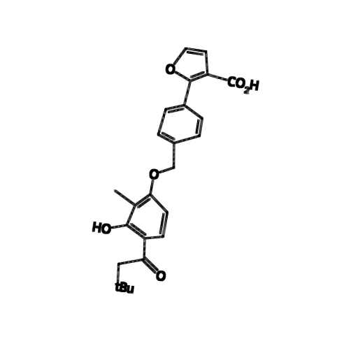 Cc1c(OCc2ccc(-c3occc3C(=O)O)cc2)ccc(C(=O)CC(C)(C)C)c1O